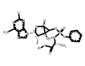 CC(C)OC(=O)[C@@H](C)NP(=O)(Oc1ccccc1)OC1[C@H]2O[C@@H](n3cnc4c(N)nc(Cl)nc43)[C@@H](F)[C@@]12O